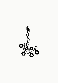 [N-]=[N+]=NCCOCCOCCO[C@H]1OC(COC(=O)c2ccccc2)[C@@H](OC(=O)c2ccccc2)C(OC(=O)c2ccccc2)[C@H]1OC(=O)c1ccccc1